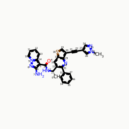 C[C@H](NC(=O)c1c(N)nn2ccccc12)c1cc2scc(C#Cc3cnn(C)c3)c2nc1-c1ccccc1